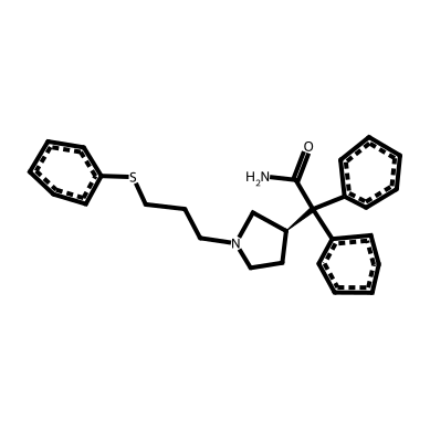 NC(=O)C(c1ccccc1)(c1ccccc1)[C@H]1CCN(CCCSc2ccccc2)C1